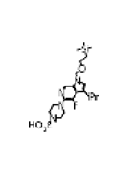 CC(C)c1cn(COCC[Si](C)(C)C)c2cnc(N3CCN(C(=O)O)CC3)c(F)c12